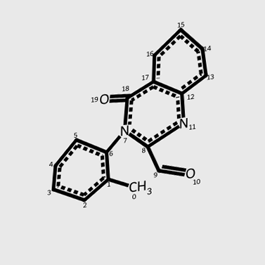 Cc1ccccc1-n1c(C=O)nc2ccccc2c1=O